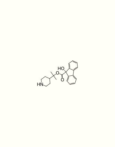 CC(C)(OC(=O)C1(O)c2ccccc2-c2ccccc21)C1CCNCC1